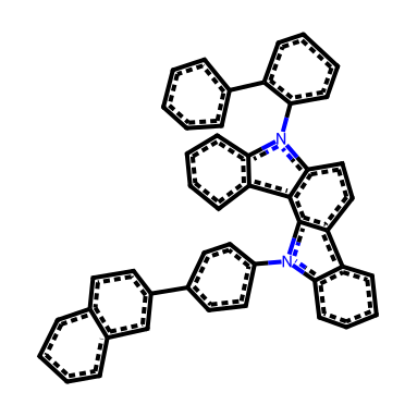 c1ccc(-c2ccccc2-n2c3ccccc3c3c2ccc2c4ccccc4n(-c4ccc(-c5ccc6ccccc6c5)cc4)c23)cc1